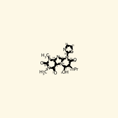 CCCc1c(O)n2c3c(=O)n(C)c(=O)n(C)c3nc2n(-c2nccs2)c1=O